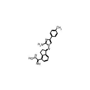 Cc1ccc(-c2cn(N=C3CCc4c(C(=N)NO)cccc43)c(N)n2)cc1